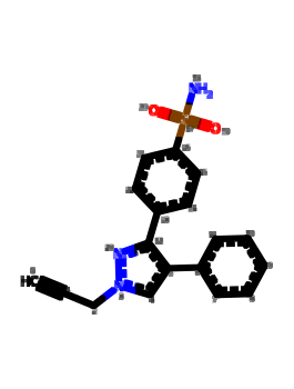 C#CCn1cc(-c2ccccc2)c(-c2ccc(S(N)(=O)=O)cc2)n1